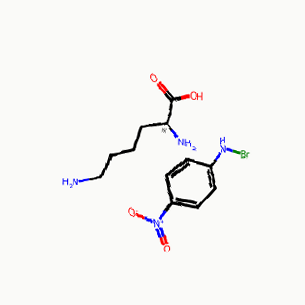 NCCCC[C@H](N)C(=O)O.O=[N+]([O-])c1ccc(NBr)cc1